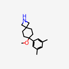 COC1(c2cc(C)cc(C)c2)CCC2(CC1)CNC2